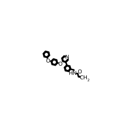 C=CC(=O)NCc1cccc(-c2cnccc2Oc2ccc(Oc3ccccc3)cc2)c1